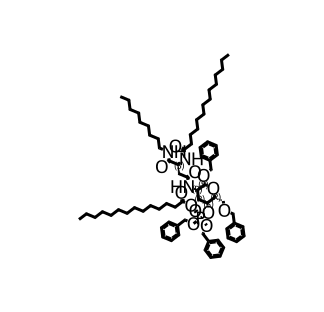 CCCCCCCCCCCCCC(=O)N[C@@H](CC(=O)N[C@H]1[C@@H](OCc2ccccc2)O[C@H](COCc2ccccc2)[C@@H](OP(=O)(OCc2ccccc2)OCc2ccccc2)[C@@H]1OC(=O)CCCCCCCCCCCCC)C(=O)NCCCCCCCCC